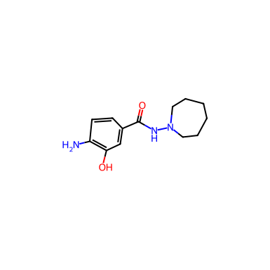 Nc1ccc(C(=O)NN2CCCCCC2)cc1O